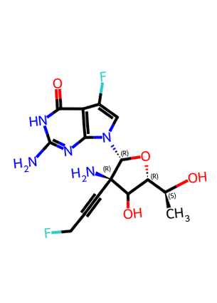 C[C@H](O)[C@H]1O[C@@H](n2cc(F)c3c(=O)[nH]c(N)nc32)[C@@](N)(C#CCF)C1O